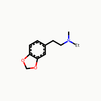 CCN(C)CCc1ccc2c(c1)OCO2